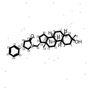 C[C@@]1(O)CC[C@H]2[C@H](CC[C@@H]3[C@@H]2CC[C@]2(C)[C@@H](CN4C[C@H](c5ccccc5)CC4=O)CC[C@@H]32)C1